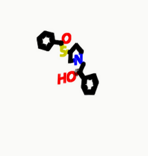 O=C(SC1CCN(C[C@H](O)c2ccccc2)C1)c1ccccc1